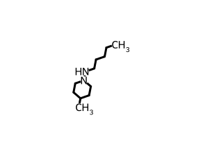 CCCCCNN1CCC(C)CC1